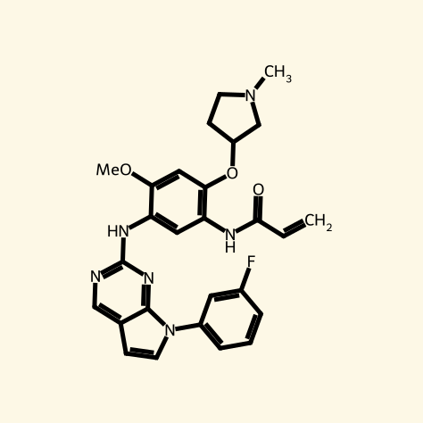 C=CC(=O)Nc1cc(Nc2ncc3ccn(-c4cccc(F)c4)c3n2)c(OC)cc1OC1CCN(C)C1